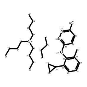 CCCC.CCCCN(CCCC)CCCC.Cc1cccc(C2CC2)c1Oc1ccc(Cl)nn1